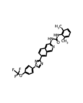 Cc1cccc(C)c1NC(=O)Nc1cc2ccc(-c3ncn(-c4ccc(OC(F)(F)F)cc4)n3)cc2cn1